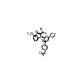 CC(=O)CN1CCN(c2cc(N3CCOCC3)nc(-n3c(C(F)F)nc4c(N)cccc43)n2)CC1